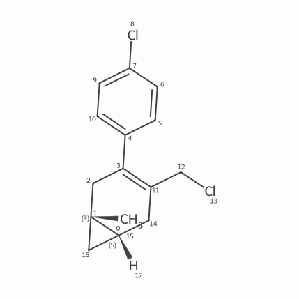 C[C@@]12CC(c3ccc(Cl)cc3)=C(CCl)C[C@@H]1C2